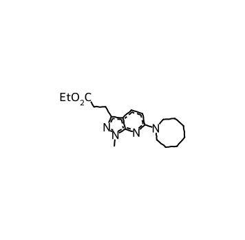 CCOC(=O)CCc1nn(C)c2nc(N3CCCCCCC3)ccc12